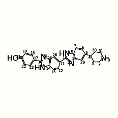 CN1CCC(c2ccc3[nH]c(-c4ccc5[nH]c(-c6ccc(O)cc6)nc5c4)nc3c2)CC1